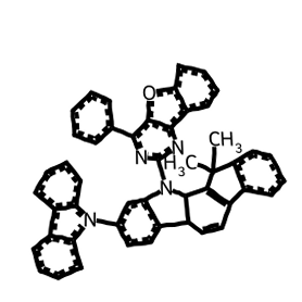 CC1(C)C2=C(C=CC3c4ccc(-n5c6ccccc6c6ccccc65)cc4N(c4nc(-c5ccccc5)c5oc6ccccc6c5n4)C23)c2ccccc21